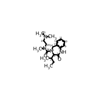 CCC(C)C1C(=O)Nc2ccccc2CN1C(=O)N(C)CCN(C)C